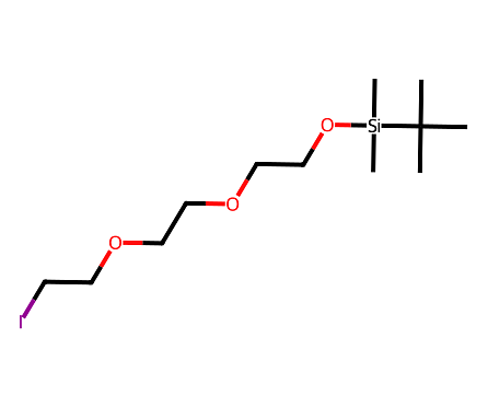 CC(C)(C)[Si](C)(C)OCCOCCOCCI